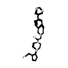 O=C(CN1CCc2cc(-c3cncnc3)ccc2C1)N1CCN(C2CCCC2CF)CC1